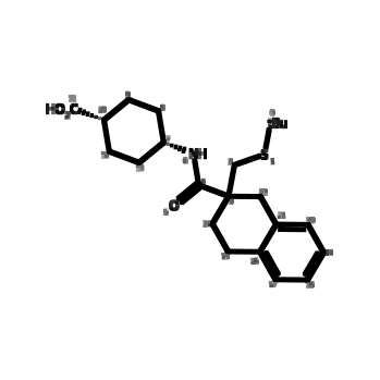 CC(C)(C)SCC1(C(=O)N[C@H]2CC[C@@H](C(=O)O)CC2)CCc2ccccc2C1